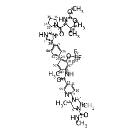 CNC(=O)N1C[C@@H](C)N(c2ccc(C(=O)Nc3cc(OC(F)(F)F)c(-c4ccc(-c5c[nH]c([C@@H]6CCCN6C(=O)[C@@H](NC(=O)OC)C(C)C)n5)cc4)cc3C)cn2)C[C@@H]1C